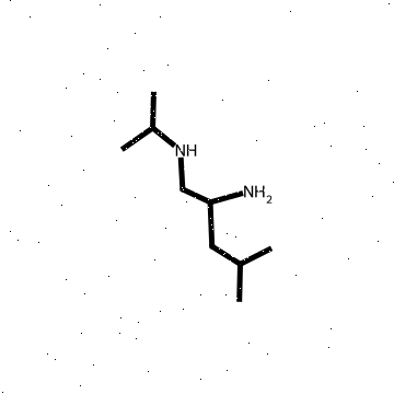 CC(C)CC(N)CNC(C)C